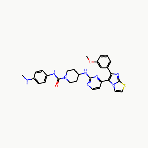 CNc1ccc(NC(=O)N2CCC(Nc3nccc(-c4c(-c5cccc(OC)c5)nc5sccn45)n3)CC2)cc1